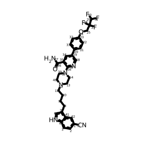 N#Cc1ccc2[nH]cc(CCCCN3CCN(c4ncc(-c5ccc(OCC(F)(F)C(F)F)cc5)cc4C(N)=O)CC3)c2c1